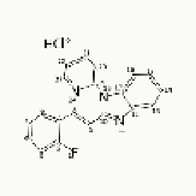 Cl.Fc1ccccc1C=Cc1nc2ccccc2n1-c1ccccn1